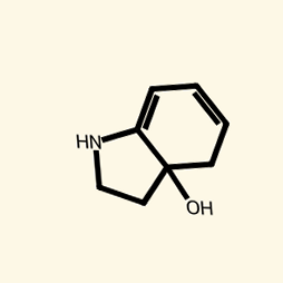 OC12CC=CC=C1NCC2